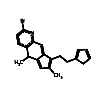 CC1=C(CCC2=CC=CC2)C2=Cc3nc(Br)ccc3C(C)C2=C1